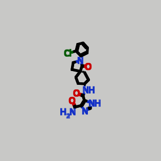 NC(=O)c1nc[nH]c1C(=O)N[C@H]1CC[C@@]2(CCN(c3ccccc3Cl)C2=O)CC1